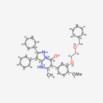 COc1ccc(-c2c(C)[nH]c3c(-c4ccccc4)c(-c4ccccc4)nn3c2=O)cc1OCCOCc1ccccc1